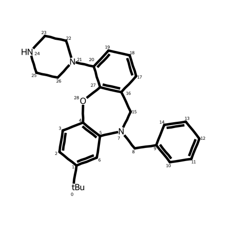 CC(C)(C)c1ccc2c(c1)N(Cc1ccccc1)Cc1cccc(N3CCNCC3)c1O2